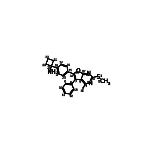 CSc1nc(I)c2c(-c3ccccc3)c(-c3ccc(C4(N)CCC4)cc3)oc2n1